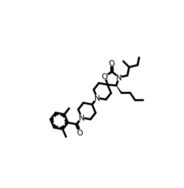 CCCC[C@@H]1N(CC(C)CC)C(=O)OC12CCN(C1CCN(C(=O)c3c(C)cccc3C)CC1)CC2